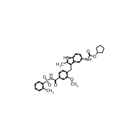 COc1cc(C(=O)NS(=O)(=O)c2ccccc2C)ccc1Cc1c(C)[nH]c2ccc(NC(=O)OC3CCCC3)cc12